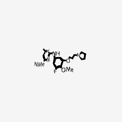 CNc1cc(C)nc(Nc2cc(F)c(OC)c(OCCCN3CCCC3)c2)n1